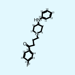 O=C(CCCN1CCC(Nc2ccccc2)CC1)c1ccc(F)cc1